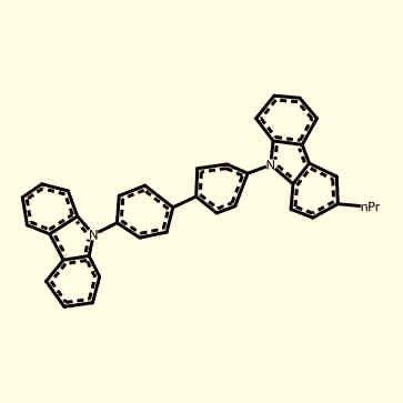 CCCc1ccc2c(c1)c1ccccc1n2-c1ccc(-c2ccc(-n3c4ccccc4c4ccccc43)cc2)cc1